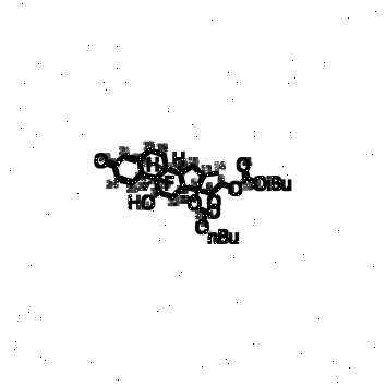 CCCCOC(=O)O[C@]1(C(=O)COC(=O)OCC(C)C)[C@H](C)C[C@H]2[C@@H]3CCC4=CC(=O)C=C[C@]4(C)[C@@]3(F)[C@@H](O)C[C@@]21C